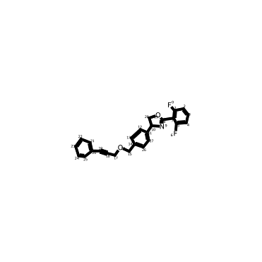 Fc1cccc(F)c1C1=NC(c2ccc(COCC#Cc3ccccc3)cc2)CO1